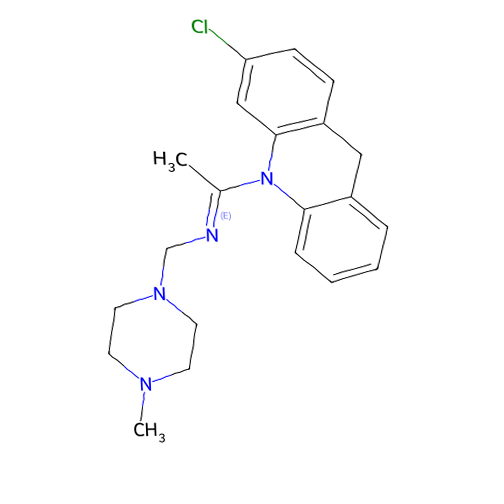 C/C(=N\CN1CCN(C)CC1)N1c2ccccc2Cc2ccc(Cl)cc21